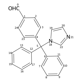 O=Cc1ccc(C(c2ccccc2)(c2ccccc2)n2ccnc2)cc1